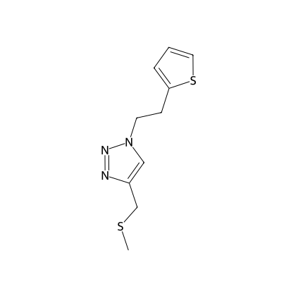 CSCc1cn(CCc2cccs2)nn1